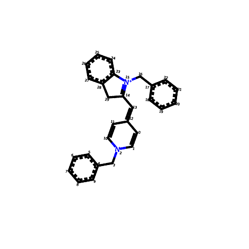 C1=CN(Cc2ccccc2)C=CC1=CC1=[N+](Cc2ccccc2)c2ccccc2C1